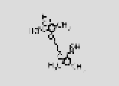 Cc1cc(C)c(OCCCCCOc2cc(C)cc(C)c2C=NO)c(C=NO)c1